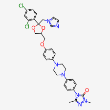 Cc1nn(C)c(=O)n1-c1ccc(N2CCN(c3ccc(OCC4COC(Cn5ccnc5)(c5ccc(Cl)cc5Cl)O4)cc3)CC2)cc1